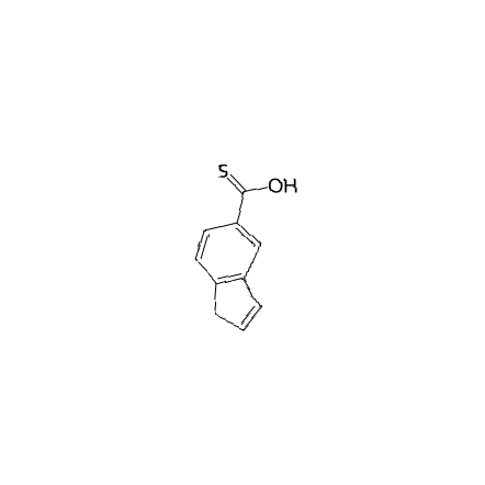 OC(=S)c1ccc2c(c1)C=CC2